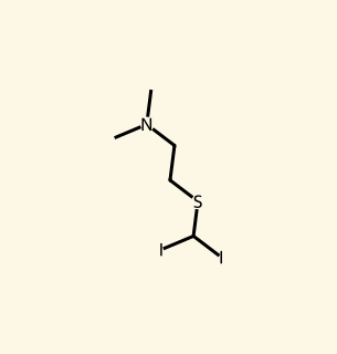 CN(C)CCSC(I)I